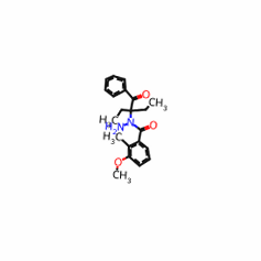 CCC(CC)(C(=O)c1ccccc1)N(N)C(=O)c1cccc(OC)c1C